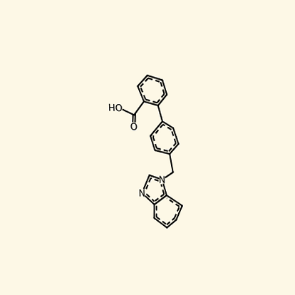 O=C(O)c1ccccc1-c1ccc(Cn2cnc3ccccc32)cc1